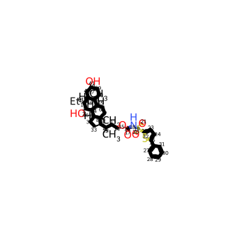 CC[C@H]1[C@@H](O)[C@@H]2[C@H](CC[C@]3(C)[C@@H]([C@H](C)CCOC(=O)NS(=O)(=O)c4ccc(-c5ccccc5)s4)CC[C@@H]23)[C@@]2(C)CC[C@@H](O)C[C@@H]12